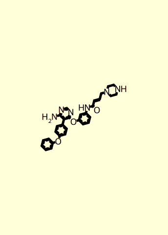 Nc1ncnc(Oc2cccc(NC(=O)/C=C/CN3CCNCC3)c2)c1-c1ccc(Oc2ccccc2)cc1